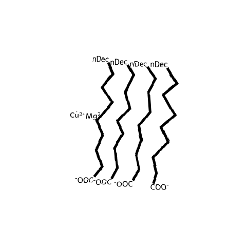 CCCCCCCCCCCCCCCCCC(=O)[O-].CCCCCCCCCCCCCCCCCC(=O)[O-].CCCCCCCCCCCCCCCCCC(=O)[O-].CCCCCCCCCCCCCCCCCC(=O)[O-].[Cu+2].[Mg+2]